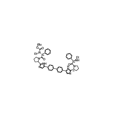 CCN[C@@H](C(=O)N1CCC[C@H]1c1ncc(-c2ccc(-c3ccc(-c4cnc(C5CCCN5C(=O)[C@@H](c5ccccc5)N(CC)C(=O)OC(C)(C)C)[nH]4)cc3)cc2)[nH]1)c1ccccc1